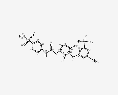 CC(F)(F)c1cc(C#N)cc(Oc2c(Cl)ccc(CC(=O)Nc3ccc(S(N)(=O)=O)cc3)c2F)c1